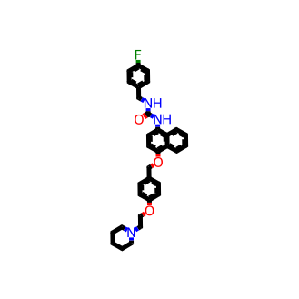 O=C(NCc1ccc(F)cc1)Nc1ccc(OCc2ccc(OCCN3CCCCC3)cc2)c2ccccc12